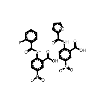 O=C(Nc1ccc([N+](=O)[O-])cc1C(=O)O)c1ccccc1F.O=C(Nc1ccc([N+](=O)[O-])cc1C(=O)O)c1ccco1